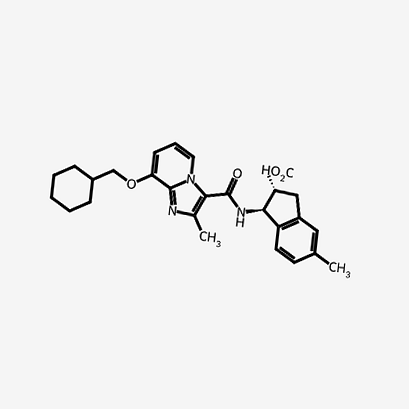 Cc1ccc2c(c1)C[C@@H](C(=O)O)[C@@H]2NC(=O)c1c(C)nc2c(OCC3CCCCC3)cccn12